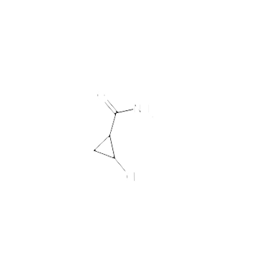 NC(=O)C1CC1Cl